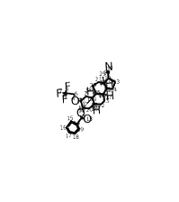 C[C@]12C[C@H](OCC(F)(F)F)[C@@H](OC(=O)c3ccccc3)C[C@@H]1CC[C@@H]1[C@@H]2CC[C@]2(C)C(C#N)CC[C@@H]12